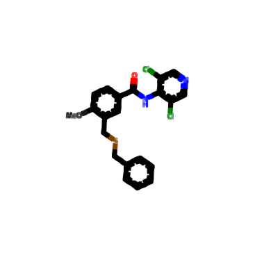 COc1ccc(C(=O)Nc2c(Cl)cncc2Cl)cc1CSCc1ccccc1